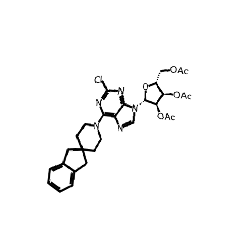 CC(=O)OC[C@H]1O[C@@H](n2cnc3c(N4CCC5(CC4)Cc4ccccc4C5)nc(Cl)nc32)[C@H](OC(C)=O)[C@@H]1OC(C)=O